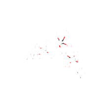 [O-][Si]([O-])([O-])[O-].[O-][Si]([O-])([O-])[O-].[O-][Si]([O-])([O-])[O-].[V+3].[V+3].[V+3].[V+3]